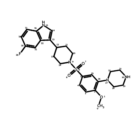 COc1ccc(S(=O)(=O)N2CCC(c3c[nH]c4ccc(F)cc34)CC2)cc1N1CCNCC1